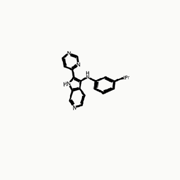 CC(C)c1cccc(Nc2c(-c3ccncn3)[nH]c3cnccc23)c1